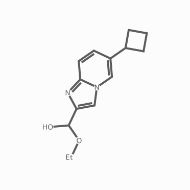 CCOC(O)c1cn2cc(C3CCC3)ccc2n1